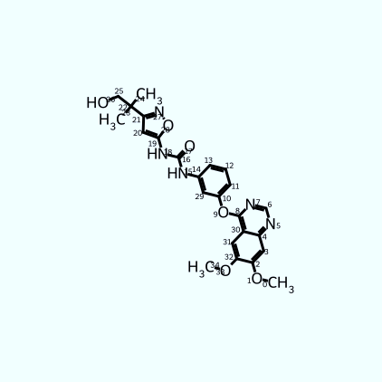 COc1cc2ncnc(Oc3cccc(NC(=O)Nc4cc(C(C)(C)CO)no4)c3)c2cc1OC